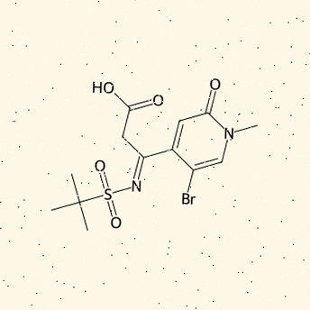 Cn1cc(Br)c(C(CC(=O)O)=NS(=O)(=O)C(C)(C)C)cc1=O